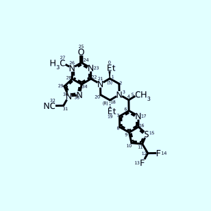 CC[C@H]1CN(C(C)c2ccc3cc(C(F)F)sc3n2)[C@H](CC)CN1c1nc(=O)n(C)c2cn(CC#N)nc12